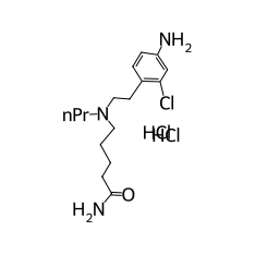 CCCN(CCCCC(N)=O)CCc1ccc(N)cc1Cl.Cl.Cl